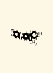 Cn1c2c(c3ccc(Oc4ccc(F)cc4)cc31)CCNCC2